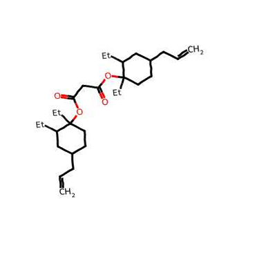 C=CCC1CCC(CC)(OC(=O)CC(=O)OC2(CC)CCC(CC=C)CC2CC)C(CC)C1